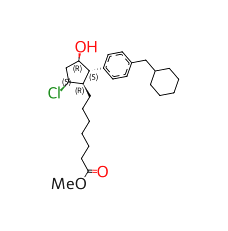 COC(=O)CCCCCC[C@@H]1[C@@H](c2ccc(CC3CCCCC3)cc2)[C@H](O)C[C@@H]1Cl